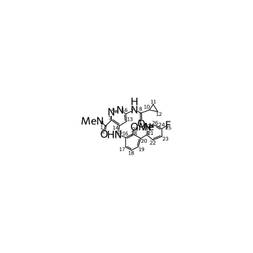 CNC(=O)c1nnc(NC(=O)C2CC2)cc1Nc1cccc(-c2ccc(F)cn2)c1OC